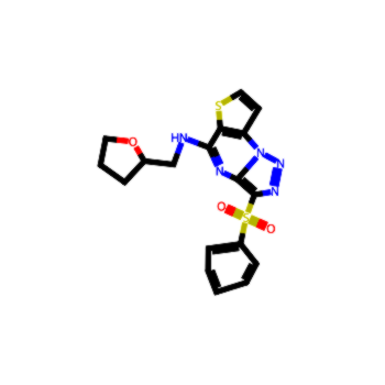 O=S(=O)(c1ccccc1)c1nnn2c1nc(NCC1CCCO1)c1sccc12